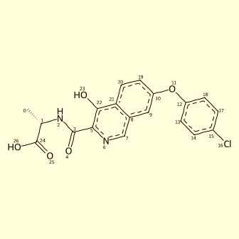 C[C@H](NC(=O)c1ncc2cc(Oc3ccc(Cl)cc3)ccc2c1O)C(=O)O